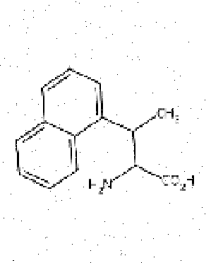 CC(c1cccc2ccccc12)C(N)C(=O)O